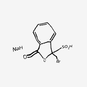 O=C1OC(Br)(S(=O)(=O)O)c2ccccc21.[NaH]